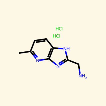 Cc1ccc2[nH]c(CN)nc2n1.Cl.Cl